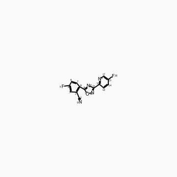 N#Cc1cc(F)ccc1-c1nc(-c2ccc(F)cn2)no1